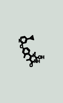 CC1=C(c2ccc(Oc3cc(C4CC4)ccn3)cc2C)N(C)C(O)NC1=O